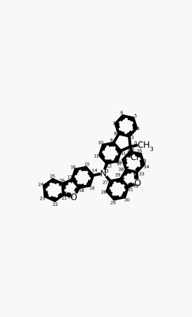 CC1(C)c2ccccc2-c2ccc(N(c3ccc4c(c3)oc3ccccc34)c3cccc4oc5ccccc5c34)cc21